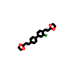 Fc1cc(-c2ccc(/C=C/C3OCCO3)cc2)ccc1/C=C/C1OCCO1